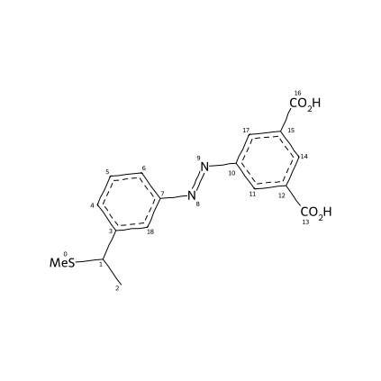 CSC(C)c1cccc(/N=N/c2cc(C(=O)O)cc(C(=O)O)c2)c1